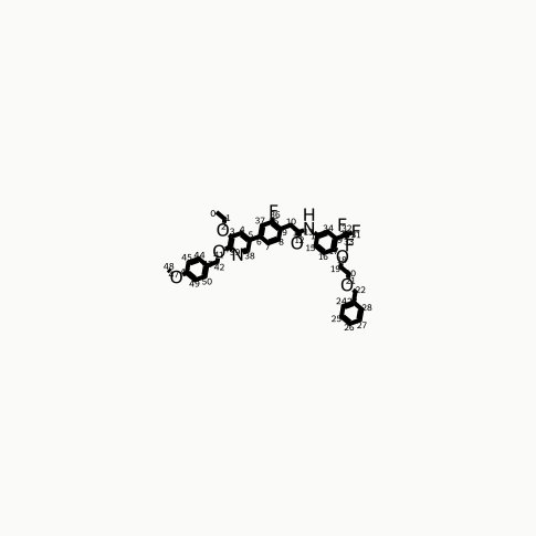 CCOc1cc(-c2ccc(CC(=O)Nc3ccc(OCCOCc4ccccc4)c(C(F)(F)F)c3)c(F)c2)cnc1OCc1ccc(OC)cc1